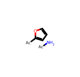 CC(=O)c1ccco1.CC(N)=O